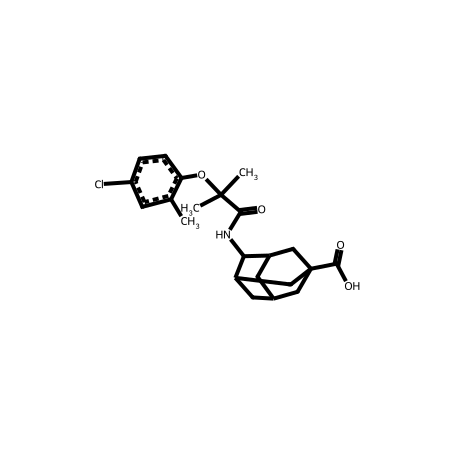 Cc1cc(Cl)ccc1OC(C)(C)C(=O)NC1C2CC3CC1CC(C(=O)O)(C3)C2